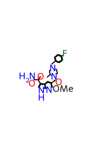 COc1nc2[nH]cc(C(=O)C(N)=O)c2cc1C(=O)N1CCN(Cc2ccc(F)cc2)CC1C